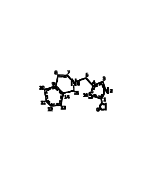 Clc1ncc(CN2C=Cc3ccccc3C2)s1